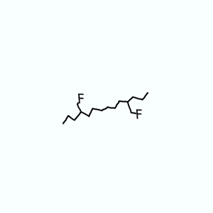 CCCC(CF)CCCCCCC(CF)CCC